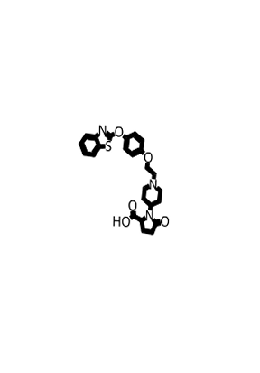 O=C(O)C1CCC(=O)N1C1CCN(CCOc2ccc(Oc3nc4ccccc4s3)cc2)CC1